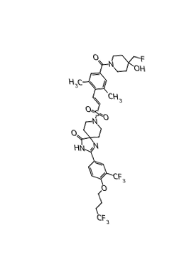 Cc1cc(C(=O)N2CCC(O)(CF)CC2)cc(C)c1C=CS(=O)(=O)N1CCC2(CC1)N=C(c1ccc(OCCCC(F)(F)F)c(C(F)(F)F)c1)NC2=O